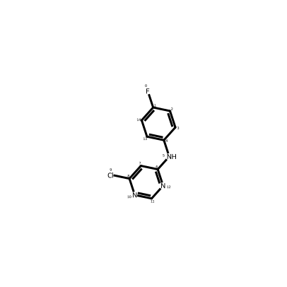 Fc1ccc(Nc2cc(Cl)ncn2)cc1